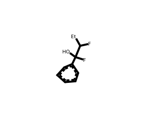 CCC(F)C(O)(F)c1ccccc1